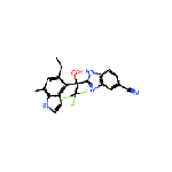 CCc1cc(C)c2[nH]ccc2c1C(O)(c1nc2cc(C#N)ccc2[nH]1)C(F)(F)F